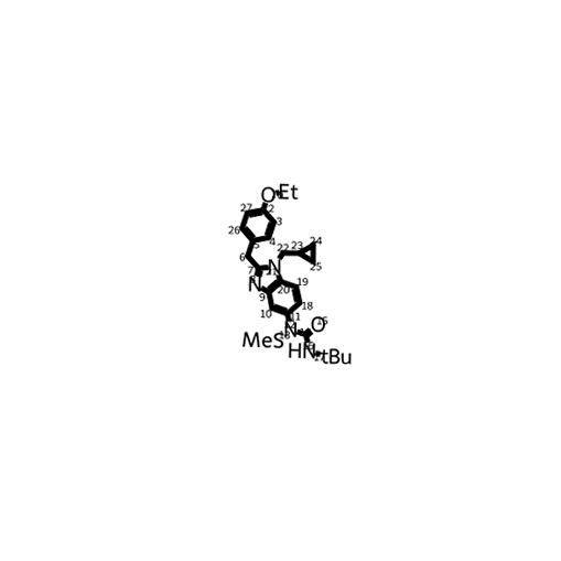 CCOc1ccc(Cc2nc3cc(N(SC)C(=O)NC(C)(C)C)ccc3n2CC2CC2)cc1